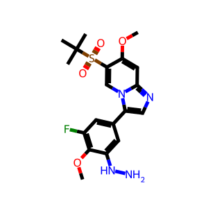 COc1cc2ncc(-c3cc(F)c(OC)c(NN)c3)n2cc1S(=O)(=O)C(C)(C)C